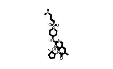 Cc1cc2cnc(NC3CCN(S(=O)(=O)/C=C/CN(C)C)CC3)nc2n([C@@H]2CCC[C@@]2(C)O)c1=O